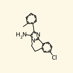 Cc1ccccc1-c1nc2n(c1N)CCc1cc(Cl)ccc1-2